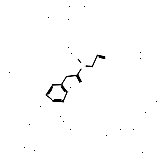 C=CCN(O)C(=O)Cc1ccccc1